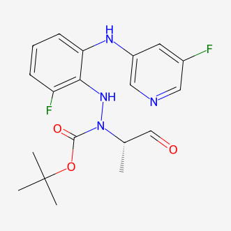 C[C@@H](C=O)N(Nc1c(F)cccc1Nc1cncc(F)c1)C(=O)OC(C)(C)C